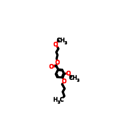 CCCCCOc1ccc(C(=O)OCCCCOC)cc1OC